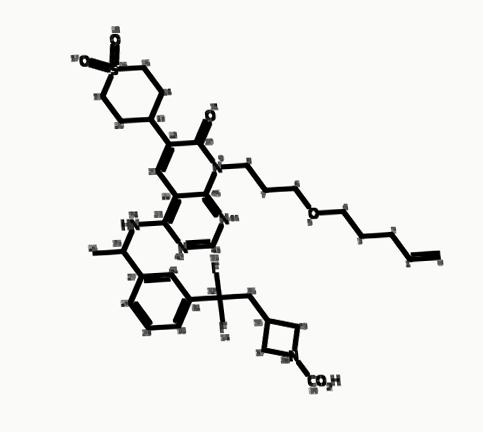 C=CCCCOCCCn1c(=O)c(C2CCS(=O)(=O)CC2)cc2c(NC(C)c3cccc(C(F)(F)CC4CN(C(=O)O)C4)c3)ncnc21